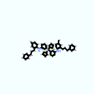 Cc1ccc(Nc2ccc(F)[c]([Ti]([C]3=CC=CC3)([C]3=CC=CC3)[c]3c(F)ccc(Nc4ccc(C)cc4CCCc4ccccc4)c3F)c2F)c(CCCc2ccccc2)c1